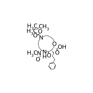 CN(C=O)[C@H]1CCCN(C(=O)OC(C)(C)C)CCCCO[C@H](C(=O)O)[C@@H](CCCc2ccccc2)C(=O)N1